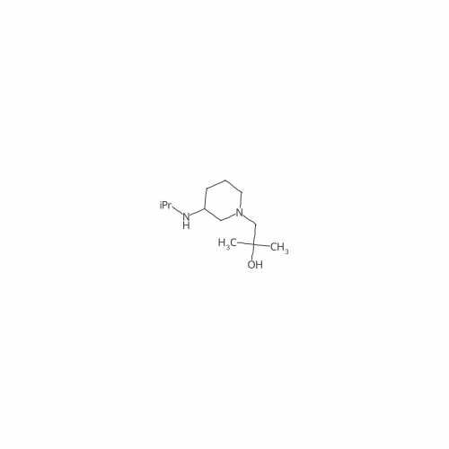 CC(C)NC1CCCN(CC(C)(C)O)C1